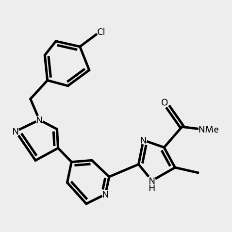 CNC(=O)c1nc(-c2cc(-c3cnn(Cc4ccc(Cl)cc4)c3)ccn2)[nH]c1C